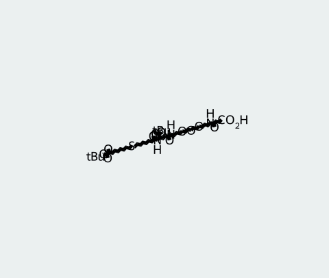 CC(C)(C)OC(=O)C(=O)CCCCCCCSCCCCCCCC(=O)NC(CCC(=O)NCCCOCCOCCOCCCNC(=O)CCC(=O)O)C(=O)OC(C)(C)C